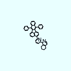 c1ccc(-c2c3c(c(-c4ccccc4)c4ccccc24)-c2ccc(-c4cccc(-c5nccc6c5CCCC6)n4)c4cccc-3c24)cc1